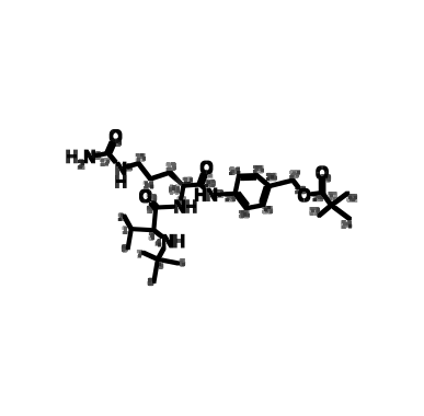 CC(C)C(NC(C)(C)C)C(=O)N[C@@H](CCCNC(N)=O)C(=O)Nc1ccc(COC(=O)C(C)(C)C)cc1